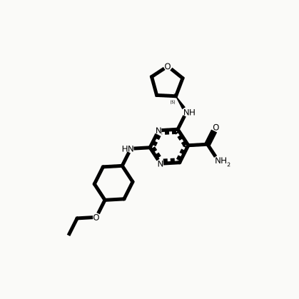 CCOC1CCC(Nc2ncc(C(N)=O)c(N[C@H]3CCOC3)n2)CC1